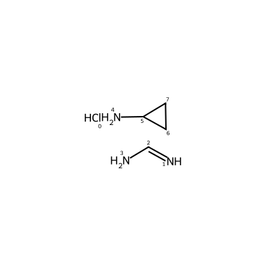 Cl.N=CN.NC1CC1